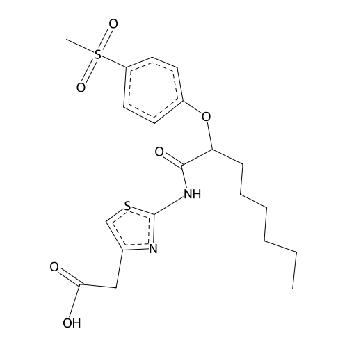 CCCCCCC(Oc1ccc(S(C)(=O)=O)cc1)C(=O)Nc1nc(CC(=O)O)cs1